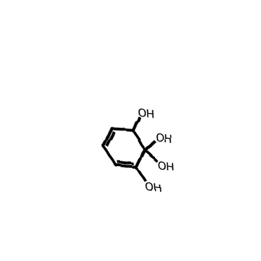 OC1=CC=CC(O)C1(O)O